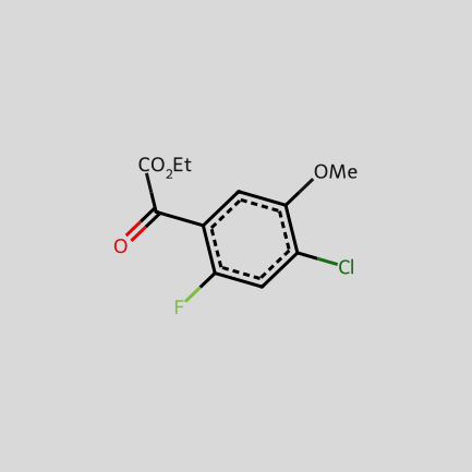 CCOC(=O)C(=O)c1cc(OC)c(Cl)cc1F